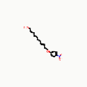 O=[N+]([O-])c1ccc(OCCCCCCCCCCCO)cc1